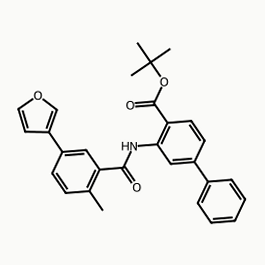 Cc1ccc(-c2ccoc2)cc1C(=O)Nc1cc(-c2ccccc2)ccc1C(=O)OC(C)(C)C